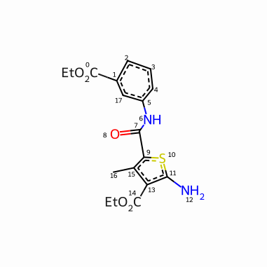 CCOC(=O)c1cccc(NC(=O)c2sc(N)c(C(=O)OCC)c2C)c1